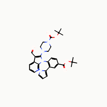 CC(C)(C)OC(=O)c1ccc(-n2c(N3CCN(C(=O)OC(C)(C)C)CC3)c(C=O)c3ccccc32)c(-c2ccc[nH]2)c1